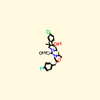 C[C@H]1CO[C@H](Cc2ccc(F)cc2)CN1C(C=O)N1CC[C@@](O)(c2ccc(Cl)cc2)C(C)(C)C1